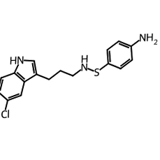 Nc1ccc(SNCCCc2c[nH]c3ccc(Cl)cc23)cc1